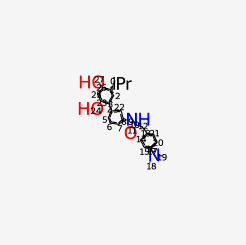 CC(C)c1cc(-c2cccc(NC(=O)Cc3ccc(N(C)C)cc3)c2)c(O)cc1O